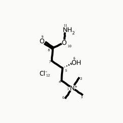 C[N+](C)(C)C[C@@H](O)CC(=O)ON.[Cl-]